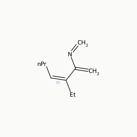 C=NC(=C)/C(=C\CCC)CC